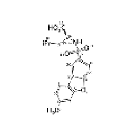 Bc1ccc2c(c1)oc1ccc(S(=O)(=O)N[C@@H](CC(C)C)C(=O)O)cc12